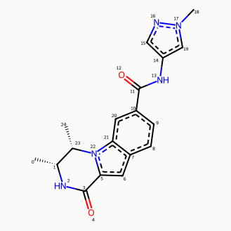 C[C@H]1NC(=O)c2cc3ccc(C(=O)Nc4cnn(C)c4)cc3n2[C@H]1C